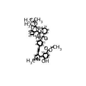 CCOC(=O)c1ccc(O)c(-c2nn(C)cc2C#Cc2ccc(NC(=O)[C@@H]3CCCCN3C(=O)[C@H](NC(=O)OC(C)(C)C)c3ccsc3)cc2)c1